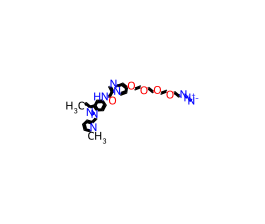 CCc1nn(Cc2cccc(C)n2)c2ccc(NC(=O)c3cnc4cc(OCCOCCOCCOCCN=[N+]=[N-])ccn34)cc12